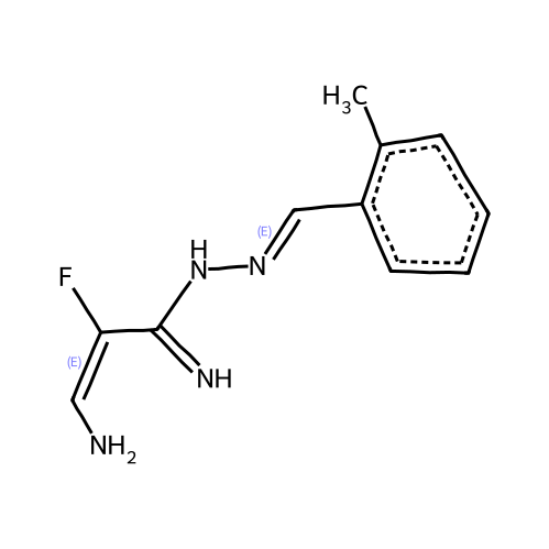 Cc1ccccc1/C=N/NC(=N)/C(F)=C\N